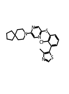 Cc1ncsc1-c1cccc(Sc2cnc(N3CCC4(CCCC4)CC3)cn2)c1Cl